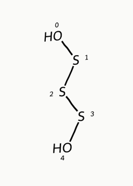 OSSSO